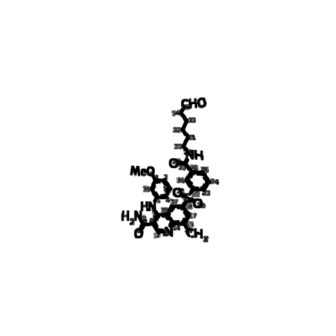 COc1cccc(Nc2c(C(N)=O)cnc3c(C)cc(S(=O)(=O)c4cccc(C(=O)NCCCCCC=O)c4)cc23)c1